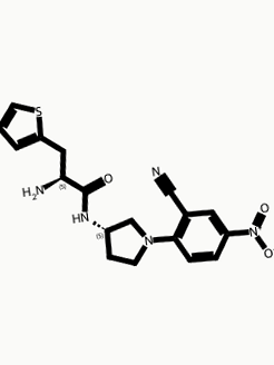 N#Cc1cc([N+](=O)[O-])ccc1N1CC[C@H](NC(=O)[C@@H](N)Cc2cccs2)C1